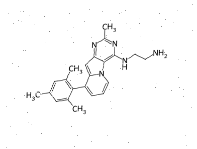 Cc1cc(C)c(-c2cccn3c2cc2nc(C)nc(NCCN)c23)c(C)c1